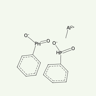 O=[PH]([O-])c1ccccc1.O=[PH]([O-])c1ccccc1.[CH3][Al+2]